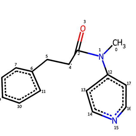 CN(C(=O)[CH]Cc1ccccc1)c1ccncc1